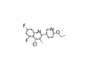 CCOc1ccc(-c2nc3cc(F)cc(F)c3c(Cl)c2C)cn1